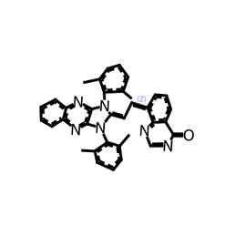 Cc1cccc(C)c1N1C(=C/C=c2/cccc3c2=NC=NC3=O)N(c2c(C)cccc2C)c2nc3ccccc3nc21